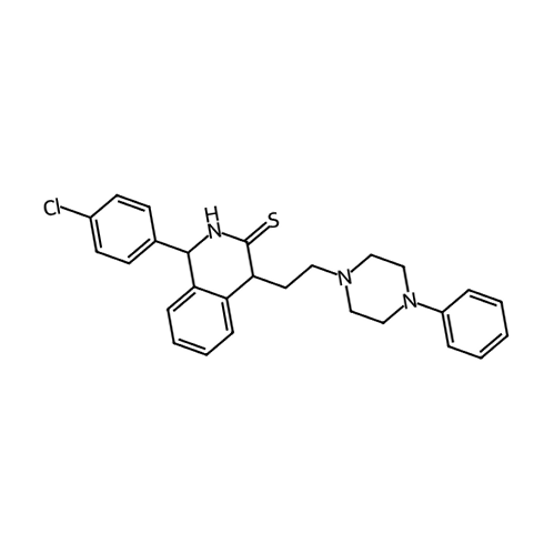 S=C1NC(c2ccc(Cl)cc2)c2ccccc2C1CCN1CCN(c2ccccc2)CC1